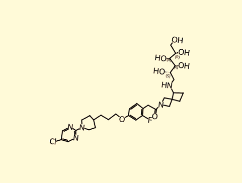 O=C(Cc1ccc(OCCCC2CCN(c3ncc(Cl)cn3)CC2)cc1F)N1CC2(CCC2NC[C@H](O)[C@@H](O)[C@H](O)[C@H](O)CO)C1